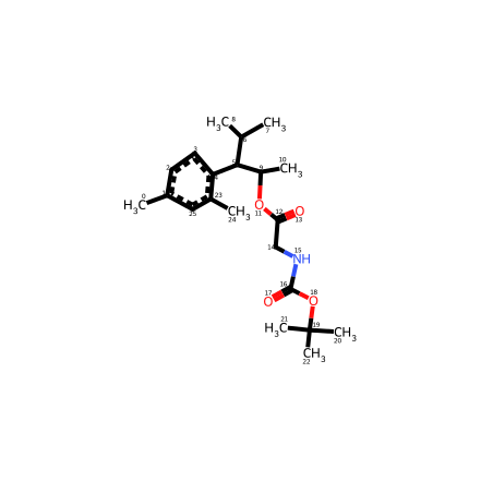 Cc1ccc(C(C(C)C)C(C)OC(=O)CNC(=O)OC(C)(C)C)c(C)c1